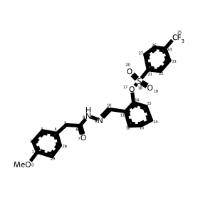 COc1ccc(CC(=O)N/N=C/c2ccccc2OS(=O)(=O)c2ccc(C(F)(F)F)cc2)cc1